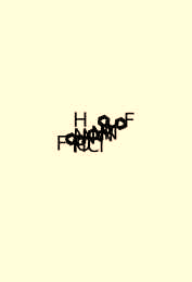 CC1CN(C(=O)Nc2ccc(F)cc2F)CCN1c1nnc(-c2ccc(F)cc2)c2ccccc12.Cl